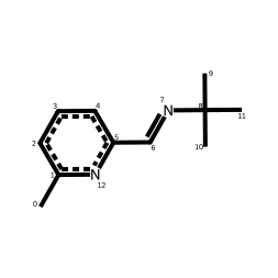 Cc1cccc(/C=N/C(C)(C)C)n1